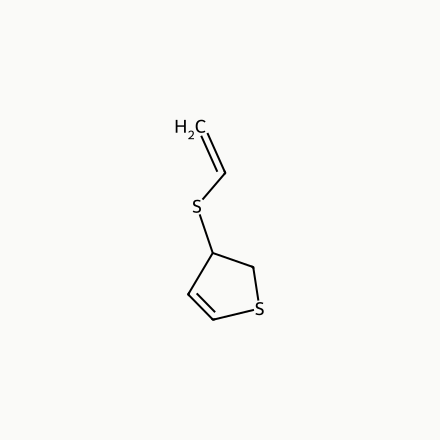 C=CSC1C=CSC1